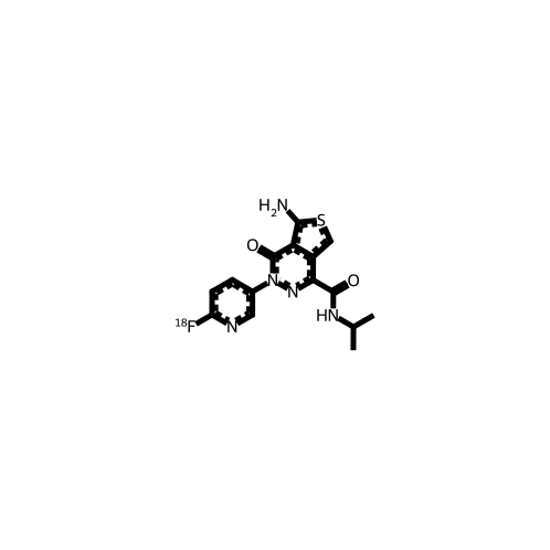 CC(C)NC(=O)c1nn(-c2ccc([18F])nc2)c(=O)c2c(N)scc12